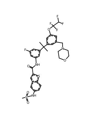 CC(C)(c1cc(F)cc(NC(=O)c2cc3cc(NS(C)(=O)=O)ccc3s2)c1)c1cc(CN2CCOCC2)cc(OC(F)(F)C(F)F)c1